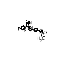 CCOC(=O)c1csc(-c2ccc(-c3csc([C@H](C)[C@](O)(Cn4cncn4)c4ccc(F)cc4F)n3)cc2)n1